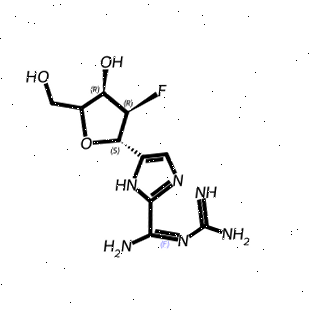 N=C(N)/N=C(/N)c1ncc([C@@H]2OC(CO)[C@@H](O)[C@H]2F)[nH]1